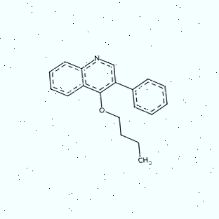 CCCCOc1c(-c2ccccc2)[c]nc2ccccc12